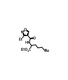 CCOC(=O)C(CCCC(C)CC)NC(=O)c1conc1CC